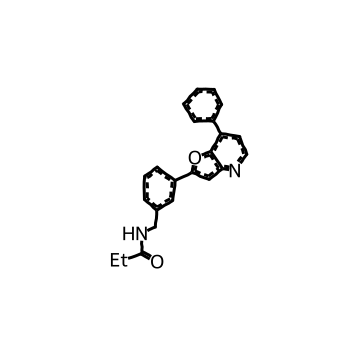 CCC(=O)NCc1cccc(-c2cc3nccc(-c4ccccc4)c3o2)c1